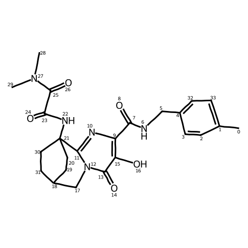 Cc1ccc(CNC(=O)c2nc3n(c(=O)c2O)CC2CCC3(NC(=O)C(=O)N(C)C)CC2)cc1